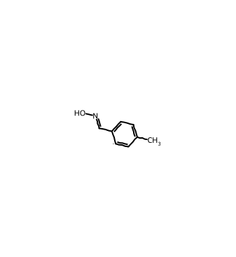 Cc1c[c]c(C=NO)cc1